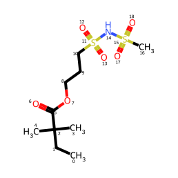 CCC(C)(C)C(=O)OCCCS(=O)(=O)NS(C)(=O)=O